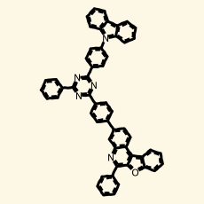 c1ccc(-c2nc(-c3ccc(-c4ccc5c(c4)nc(-c4ccccc4)c4oc6ccccc6c45)cc3)nc(-c3ccc(-n4c5ccccc5c5ccccc54)cc3)n2)cc1